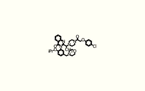 CC(C)Oc1ccc(CN2CCOCC2)cc1-n1c(C(C)N2CCN(C(=O)COc3ccc(Cl)cc3)CC2)nc2ccccc2c1=O